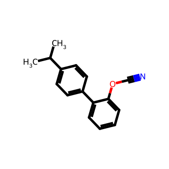 CC(C)c1ccc(-c2ccccc2OC#N)cc1